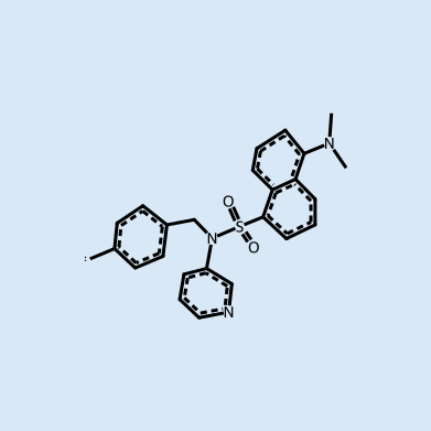 [CH]c1ccc(CN(c2cccnc2)S(=O)(=O)c2cccc3c(N(C)C)cccc23)cc1